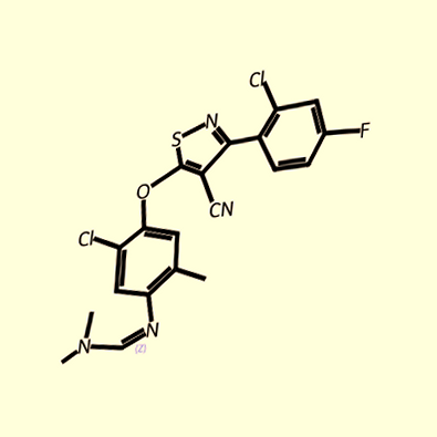 Cc1cc(Oc2snc(-c3ccc(F)cc3Cl)c2C#N)c(Cl)cc1/N=C\N(C)C